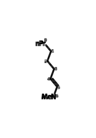 CCCCCCC=CNC